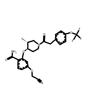 N#CCOc1ccc(C(N)=O)c(O[C@@H]2CCN(C(=O)Cc3ccc(OC(F)(F)F)cc3)C[C@H]2F)c1